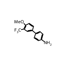 COc1ccc(-c2ccc(N)cc2)cc1C(F)(F)F